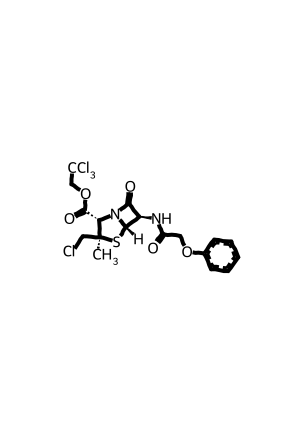 C[C@@]1(CCl)S[C@H]2[C@H](NC(=O)COc3ccccc3)C(=O)N2[C@H]1C(=O)OCC(Cl)(Cl)Cl